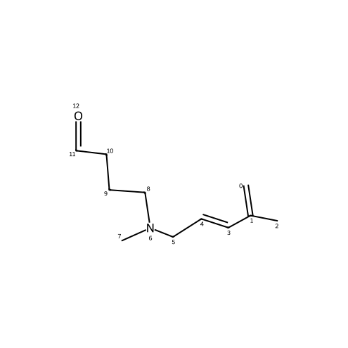 C=C(C)/C=C/CN(C)CCCC=O